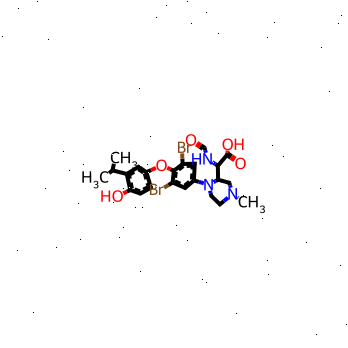 CC(C)c1cc(Oc2c(Br)cc(N3CCN(C)CC3C(NC=O)C(=O)O)cc2Br)ccc1O